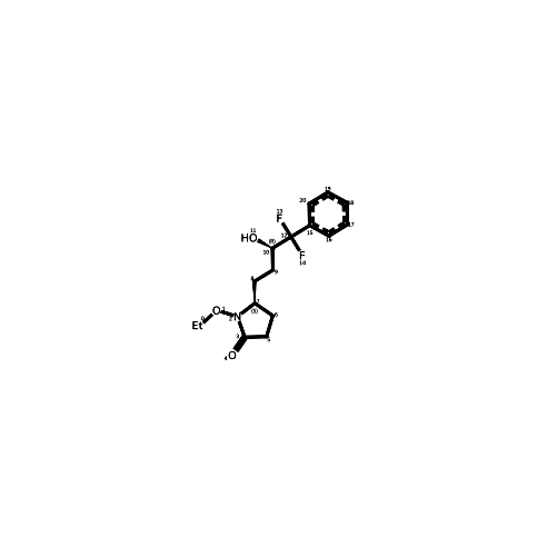 CCON1C(=O)CC[C@@H]1CC[C@@H](O)C(F)(F)c1ccccc1